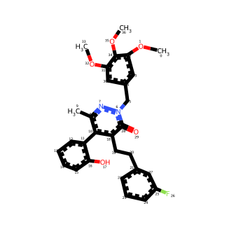 COc1cc(Cn2nc(C)c(-c3ccccc3O)c(CCc3cccc(F)c3)c2=O)cc(OC)c1OC